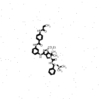 C=CC(=O)Nc1ccc(C(=O)Nc2cccc(Nc3nn(C(=O)OCC)c4c3CN(C(=O)N[C@H](CN(C)C)c3ccccc3)C4(C)C)c2)cc1